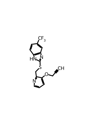 C#CCOc1cccnc1CSc1nc2cc(C(F)(F)F)ccc2[nH]1